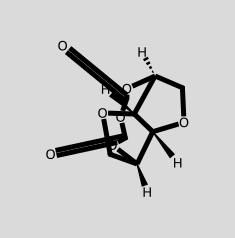 O=C1OC(=O)O[C@H]2CO[C@H]3[C@@H]2OC[C@@H]3O1